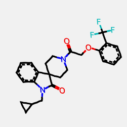 O=C(COc1ccccc1C(F)(F)F)N1CCC2(CC1)C(=O)N(CC1CC1)c1ccccc12